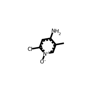 Cc1c[n+]([O-])c(Cl)cc1N